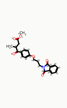 COC(=O)CC(C)C(=O)c1ccc(OCCCN2C(=O)c3ccccc3C2=O)cc1